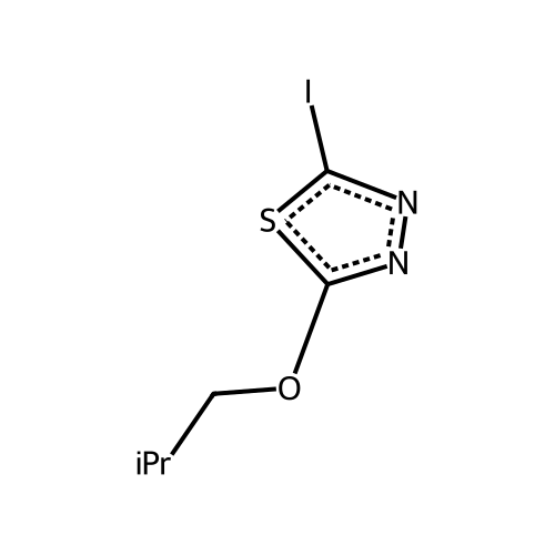 CC(C)COc1nnc(I)s1